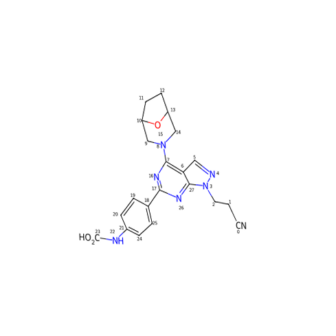 N#CCCn1ncc2c(N3CC4CCC(C3)O4)nc(-c3ccc(NC(=O)O)cc3)nc21